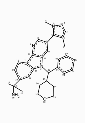 Cc1cnn(C)c1-c1cnc2c3ccc(C(C)(C)N)cc3n(C(c3ccccc3)C3CCOCC3)c2c1